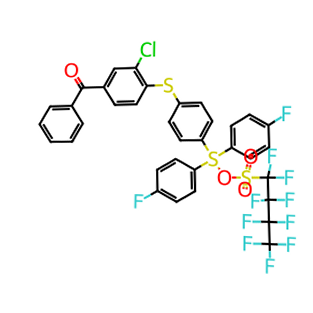 O=C(c1ccccc1)c1ccc(Sc2ccc(S(OS(=O)(=O)C(F)(F)C(F)(F)C(F)(F)C(F)(F)F)(c3ccc(F)cc3)c3ccc(F)cc3)cc2)c(Cl)c1